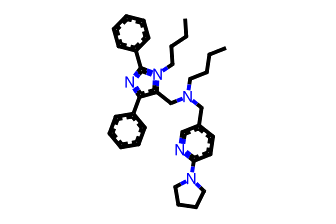 CCCCN(Cc1ccc(N2CCCC2)nc1)Cc1c(-c2ccccc2)nc(-c2ccccc2)n1CCCC